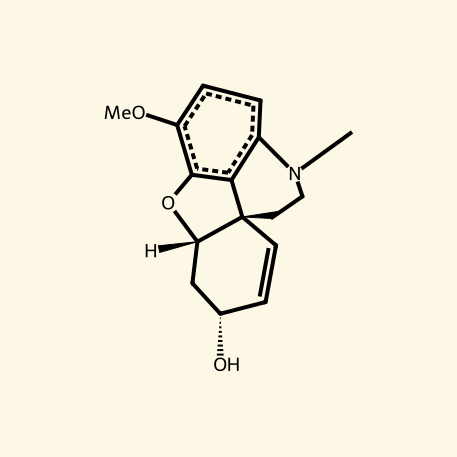 COc1ccc2c3c1O[C@H]1C[C@@H](O)C=C[C@@]31CCN2C